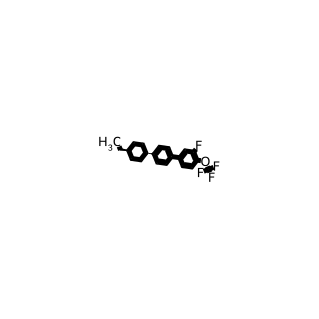 CC[C@H]1CC[C@H](c2ccc(-c3ccc(OC(F)(F)F)c(F)c3)cc2)CC1